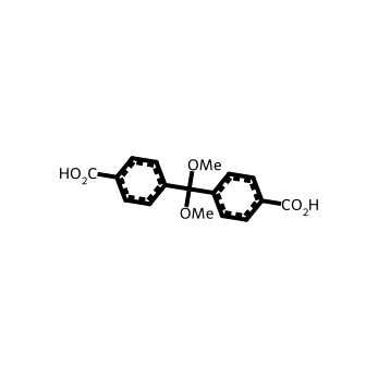 COC(OC)(c1ccc(C(=O)O)cc1)c1ccc(C(=O)O)cc1